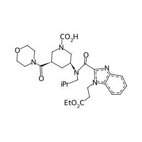 CCOC(=O)CCn1c(C(=O)N(CC(C)C)[C@H]2C[C@@H](C(=O)N3CCOCC3)CN(C(=O)O)C2)nc2ccccc21